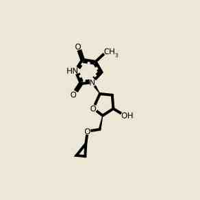 Cc1cn([C@H]2CC(O)[C@@H](COC3CC3)O2)c(=O)[nH]c1=O